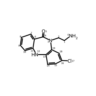 NCCN1C(=O)c2ccccc2Nc2ccc(Cl)cc21